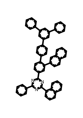 c1ccc(-c2cc(-c3ccccc3)cc(-c3ccc(-c4ccc(-c5nc(-c6ccccc6)nc(-c6cccc7ccccc67)n5)cc4-c4ccc5ccccc5c4)cc3)c2)cc1